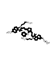 CC1(C)C(=CC=C2CCC(C=CC3=[N+](CCCS(=O)(=O)O)c4ccc5cc(SOOO)ccc5c4C3(C)C)=C2Oc2ccccc2)N(CCCS(=O)(=O)O)c2ccc3cc(S(=O)(=O)O)ccc3c21